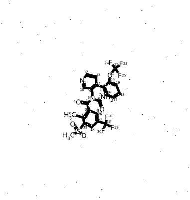 Cc1c(C(=O)N(C(N)=O)c2cnccc2-c2ccccc2OC(F)(F)F)cc(C(F)(F)F)cc1S(C)(=O)=O